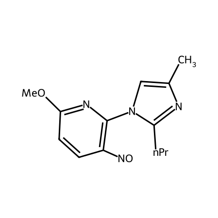 CCCc1nc(C)cn1-c1nc(OC)ccc1N=O